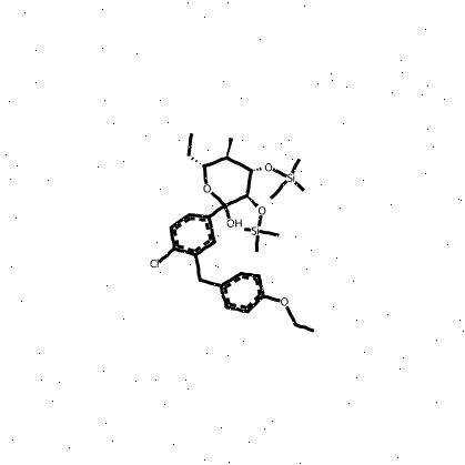 CCOc1ccc(Cc2cc(C3(O)O[C@H](CC)[C@@H](C)[C@H](O[Si](C)(C)C)[C@H]3O[Si](C)(C)C)ccc2Cl)cc1